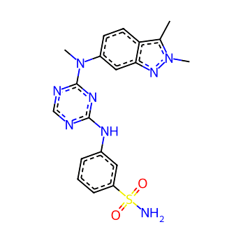 Cc1c2ccc(N(C)c3ncnc(Nc4cccc(S(N)(=O)=O)c4)n3)cc2nn1C